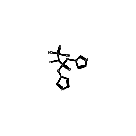 O=P(O)(O)C(F)P(=O)(On1ccnc1)On1ccnc1